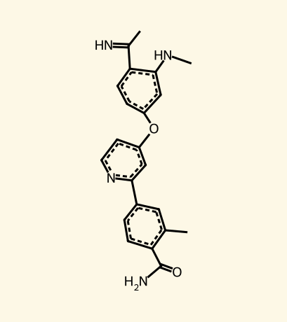 CNc1cc(Oc2ccnc(-c3ccc(C(N)=O)c(C)c3)c2)ccc1C(C)=N